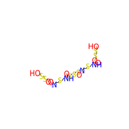 O=C(NCCSCC/N=C/[S+]([O-])CSCSC(=O)NCCSCC/N=C\OOCSCSCO)OCSCSCO